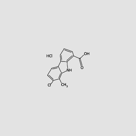 Cc1c(Cl)ccc2c1[nH]c1c(C(=O)O)cccc12.Cl